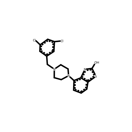 Oc1nc2c(N3CCN(Cc4cc(Cl)cc(Cl)c4)CC3)cccc2s1